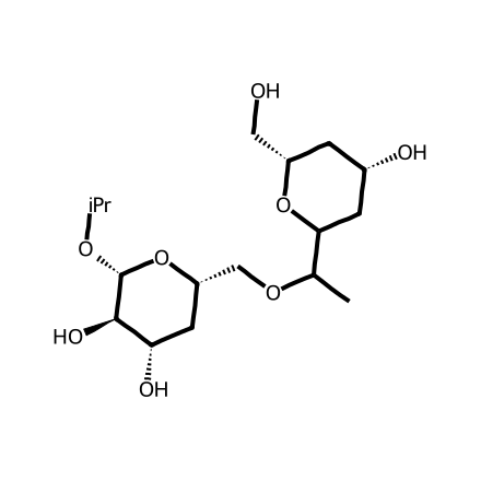 CC(C)O[C@@H]1O[C@H](COC(C)C2C[C@@H](O)C[C@@H](CO)O2)C[C@H](O)[C@H]1O